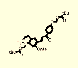 C/C=C\c1cc(/C=C/C(=O)c2ccc(OCOC(=O)C(C)(C)C)cc2)c(OC)cc1OCOC(=O)C(C)(C)C